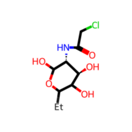 CCC1OC(O)[C@H](NC(=O)CCl)[C@@H](O)C1O